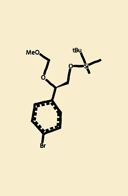 COCO[C@@H](CO[Si](C)(C)C(C)(C)C)c1ccc(Br)cc1